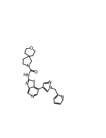 O=C(Nc1nc2cncc(-c3cnn(Cc4ccccn4)c3)c2s1)N1CCC2(CCOCC2)C1